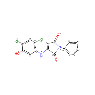 O=C1C=C(Nc2cc(O)c(Cl)cc2Cl)C(=O)N1c1ccccc1